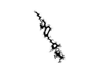 CCCCC[SiH]1CCC(C2CCC(CCCCc3ccc(OCC(F)(F)C(F)F)c(F)c3)CC2)CC1